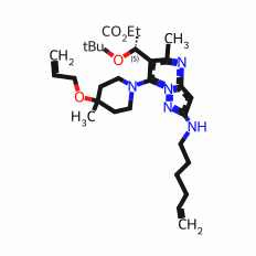 C=CCCCCNc1cc2nc(C)c([C@H](OC(C)(C)C)C(=O)OCC)c(N3CCC(C)(OCC=C)CC3)n2n1